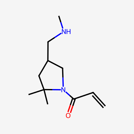 C=CC(=O)N1CC(CNC)CC1(C)C